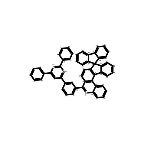 c1ccc(-c2cc(-c3cccc(-c4nc5ccccc5c5c6c(ccc45)C4(c5ccccc5-c5ccccc54)c4ccccc4-6)c3)nc(-c3ccccc3)n2)cc1